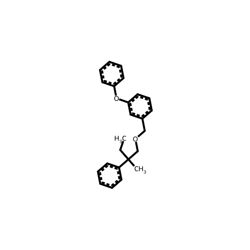 CCC(C)(COCc1cccc(Oc2ccccc2)c1)c1ccccc1